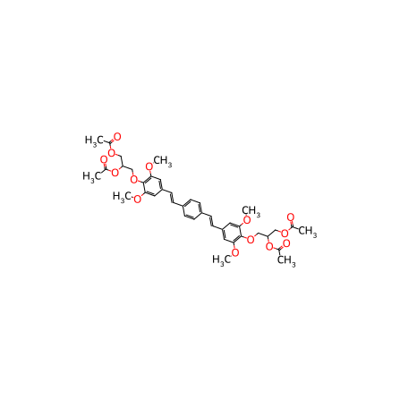 COc1cc(/C=C/c2ccc(/C=C/c3cc(OC)c(OCC(COC(C)=O)OC(C)=O)c(OC)c3)cc2)cc(OC)c1OCC(COC(C)=O)OC(C)=O